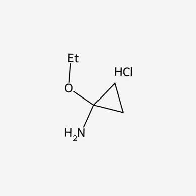 CCOC1(N)CC1.Cl